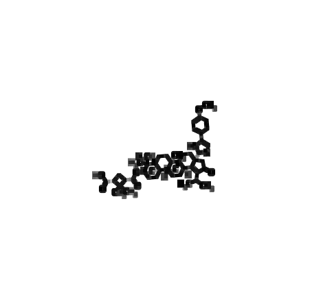 COc1ccc(-c2cnc([C@@]34CC[C@]5(C)[C@H](CC[C@@H]6[C@@]7(C)CC[C@H](OC(=O)[C@H]8C[C@@H](C(=O)O)C8(C)C)C(C)(C)[C@@H]7CC[C@]65C)C3=C(C(C)C)C(=O)C4)[nH]2)cc1